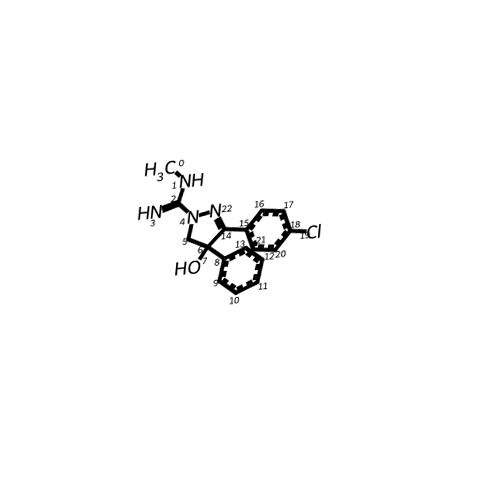 CNC(=N)N1CC(O)(c2ccccc2)C(c2ccc(Cl)cc2)=N1